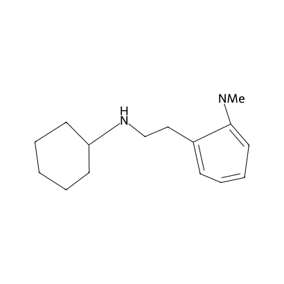 CNc1ccccc1CCNC1CCCCC1